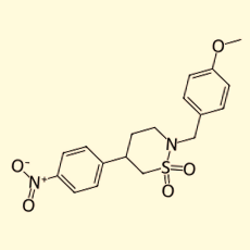 COc1ccc(CN2CCC(c3ccc([N+](=O)[O-])cc3)CS2(=O)=O)cc1